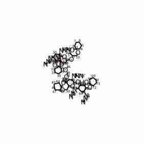 C[C@@H]1OC2(CCCCC2)OCC1O[C@H](O[C@@H]1C(N=[N+]=[N-])C[C@@H](N=[N+]=[N-])[C@H]2OC3(CCCCC3)OC12)[C@H](COCOC1[C@@H]2OC3(CCCCC3)OCC2O[C@H](O[C@@H]2C(N=[N+]=[N-])C[C@@H](N=[N+]=[N-])C3OC4(CCCCC4)O[C@H]32)[C@H]1N=[N+]=[N-])N=[N+]=[N-]